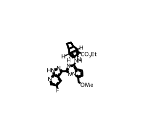 CCOC(=O)[C@@H]1[C@@H](Nc2nc(-c3n[nH]c4ncc(F)cc34)nn3c(COC)ccc23)[C@@H]2CC[C@H]1C1CCC12